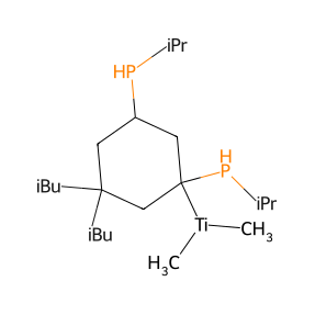 CCC(C)C1(C(C)CC)CC(PC(C)C)C[C](PC(C)C)([Ti]([CH3])[CH3])C1